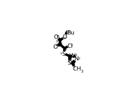 Cc1nnc(SC(Cl)C(=O)C(=O)OC(C)(C)C)s1